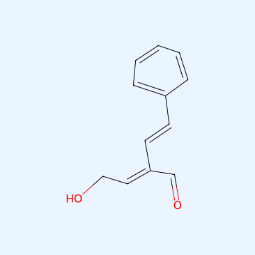 O=CC(/C=C/c1ccccc1)=C/CO